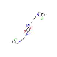 CCN(CCCCCCNC1=CC(=O)C(NCCCCCCN(CC)Cc2ccccc2Cl)=CC1=O)Cc1ccccc1Cl